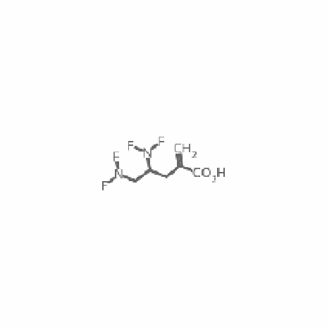 C=C(CC(CN(F)F)N(F)F)C(=O)O